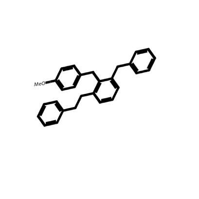 COc1ccc(Cc2c(CCc3ccccc3)cccc2Cc2ccccc2)cc1